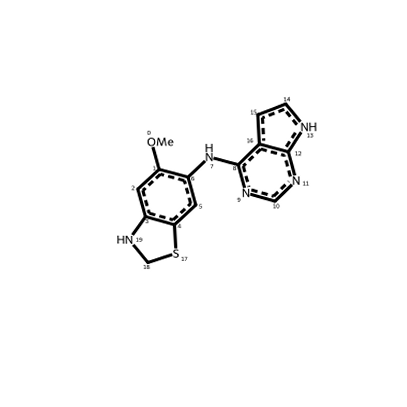 COc1cc2c(cc1Nc1ncnc3[nH]ccc13)SCN2